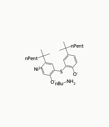 CCCCCC(C)(C)c1ccc([O-])c(Sc2cc(C(C)(C)CCCCC)ccc2[O-])c1.CCCCN.[Ni+2]